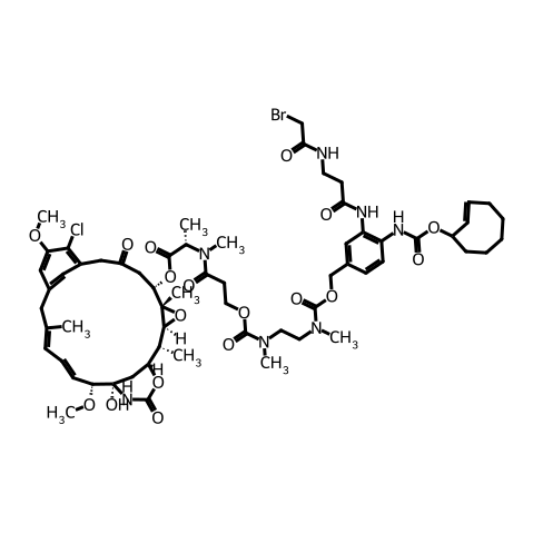 COc1cc2cc(c1Cl)CC(=O)C[C@H](OC(=O)[C@H](C)N(C)C(=O)CCOC(=O)N(C)CCN(C)C(=O)OCc1ccc(NC(=O)OC3/C=C/CCCCC3)c(NC(=O)CCNC(=O)CBr)c1)[C@]1(C)O[C@H]1[C@H](C)[C@@H]1C[C@@](O)(NC(=O)O1)[C@H](OC)/C=C/C=C(\C)C2